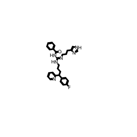 O=C(NC(=NCCCc1c[nH]cn1)NCCCC(c1ccc(F)cc1)c1ccccn1)c1ccccc1